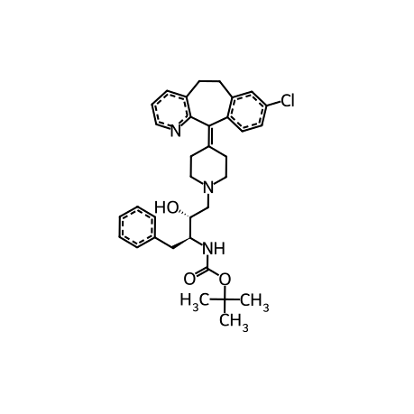 CC(C)(C)OC(=O)N[C@@H](Cc1ccccc1)[C@H](O)CN1CCC(=C2c3ccc(Cl)cc3CCc3cccnc32)CC1